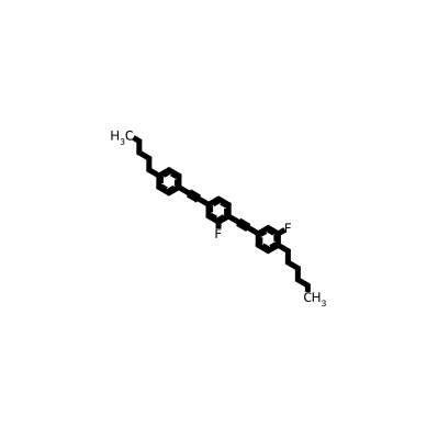 CCCCCCc1ccc(C#Cc2ccc(C#Cc3ccc(CCCCC)cc3)cc2F)cc1F